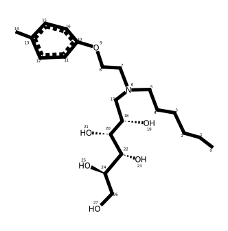 CCCCCCN(CCOc1ccc(C)cc1)C[C@H](O)[C@@H](O)[C@H](O)[C@H](O)CO